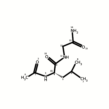 CC(=O)N[C@@H](CC(C)C)C(=O)NCC(N)=O